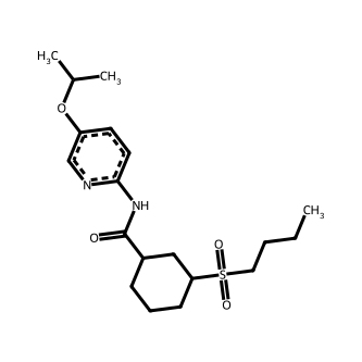 CCCCS(=O)(=O)C1CCCC(C(=O)Nc2ccc(OC(C)C)cn2)C1